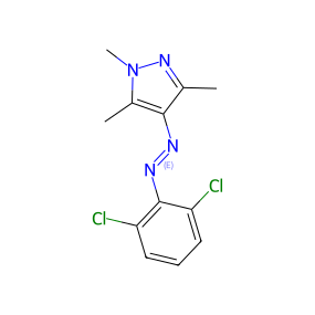 Cc1nn(C)c(C)c1/N=N/c1c(Cl)cccc1Cl